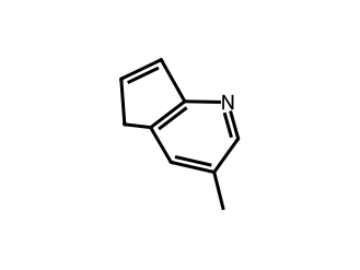 Cc1cnc2c(c1)CC=C2